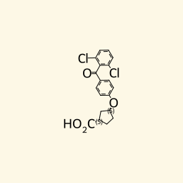 O=C(c1ccc(O[C@H]2CC[C@H](C(=O)O)C2)cc1)c1c(Cl)cccc1Cl